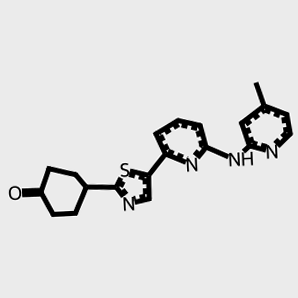 Cc1ccnc(Nc2cccc(-c3cnc(C4CCC(=O)CC4)s3)n2)c1